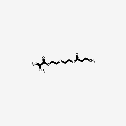 C=C(C)C(=O)OCCOCCOC(=O)CCC